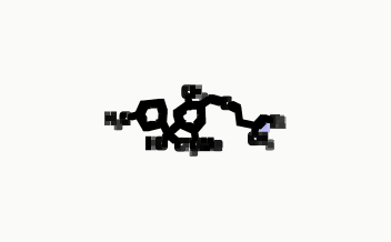 CC/C=C(\C)CC=C=Cc1cc(OC)c(C(O)(c2cccc(C)c2)C(F)(F)F)cc1C